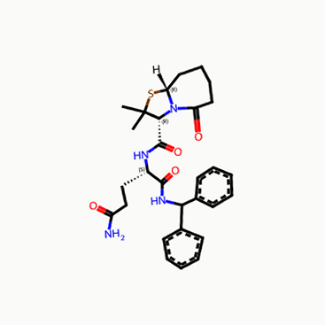 CC1(C)S[C@@H]2CCCCC(=O)N2[C@@H]1C(=O)N[C@@H](CCC(N)=O)C(=O)NC(c1ccccc1)c1ccccc1